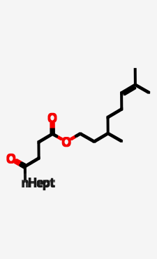 CCCCCCCC(=O)CCC(=O)OCCC(C)CCC=C(C)C